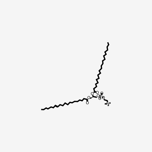 CCCCCC/C=C/CCCCCCCCCCCC(=O)OC[C@H](COP(=O)([O-])OCC[N+](C)(C)C)OC(=O)CCCCCCCCCCCCCCCCCCCCC